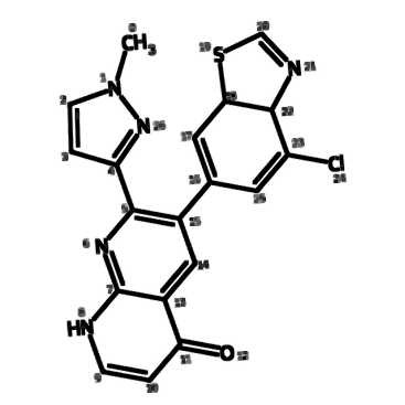 Cn1ccc(-c2nc3[nH]ccc(=O)c3cc2C2=CC3SC=NC3C(Cl)=C2)n1